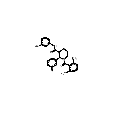 Cc1cccc(C)c1C(=O)N1CCCC(C(=O)Nc2cccc(C(C)(C)C)c2)C1c1cccc(F)c1